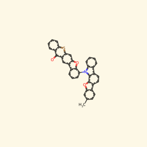 Cc1ccc2c(c1)oc1c2ccc2c3ccccc3n(-c3cccc4c3oc3cc5sc6ccccc6c(=O)c5cc34)c21